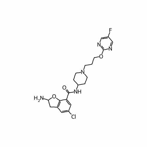 NC1Cc2cc(Cl)cc(C(=O)NC3CCN(CCCOc4ncc(F)cn4)CC3)c2O1